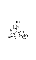 CCCC(C)(C(=O)O)c1c(C)nc2cc(C(C)(C)C)nn2c1-c1ccc2occc2c1